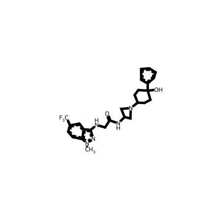 Cn1nc(NCC(=O)NC2CN(C3CCC(O)(c4ccccc4)CC3)C2)c2cc(C(F)(F)F)ccc21